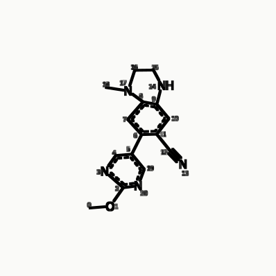 COc1ncc(-c2cc3c(cc2C#N)NCCN3C)cn1